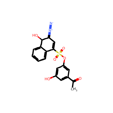 CC(=O)c1cc(O)cc(OS(=O)(=O)C2=CC(=[N+]=[N-])C(O)c3ccccc32)c1